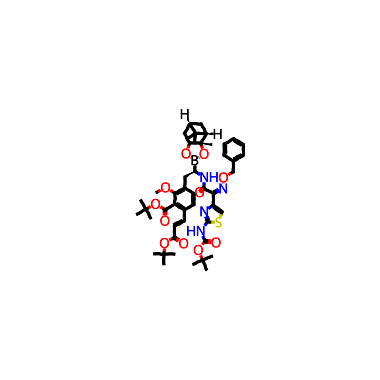 COc1c(C[C@H](NC(=O)/C(=N\OCc2ccccc2)c2csc(NC(=O)OC(C)(C)C)n2)B2OC3C[C@H]4C[C@@H](C4(C)C)[C@]3(C)O2)ccc(/C=C/C(=O)OC(C)(C)C)c1C(=O)OC(C)(C)C